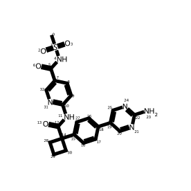 CS(=O)(=O)NC(=O)c1ccc(NC(=O)C2(c3ccc(-c4cnc(N)nc4)cc3)CCC2)nc1